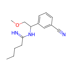 CCCCC(=N)NC(COC)c1cccc(C#N)c1